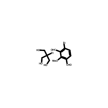 CCC(CO)(CO)CO.CCc1ccc(C=O)c(OC)c1C=O